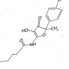 CC1(c2ccc(Cl)cc2)OC(NC(=O)CCCBr)=C(O)C1=O